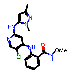 CONC(=O)c1ccccc1Nc1cc(Nc2cc(C)nn2C)ncc1Cl